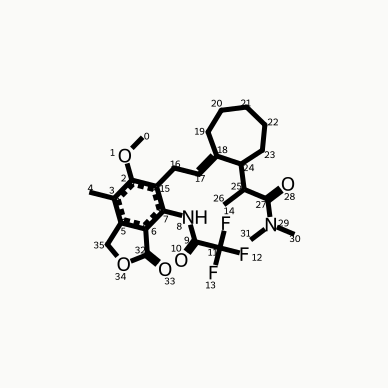 COc1c(C)c2c(c(NC(=O)C(F)(F)F)c1CC=C1CCCCCC1C(C)C(=O)N(C)C)C(=O)OC2